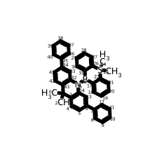 CC1(C)c2ccc(-c3ccccc3)cc2N(B2c3ccccc3S(C)(C)c3ccccc32)c2cc(-c3ccccc3)ccc21